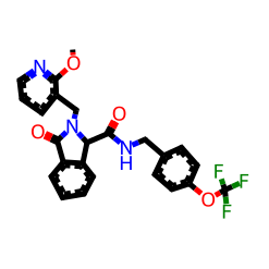 COc1ncccc1CN1C(=O)c2ccccc2C1C(=O)NCc1ccc(OC(F)(F)F)cc1